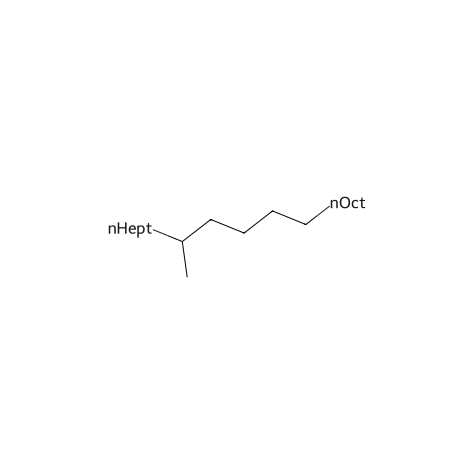 [CH2]CCCCCCCCCCCC(C)CCCCCCC